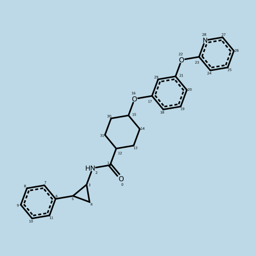 O=C(NC1CC1c1ccccc1)C1CCC(Oc2cccc(Oc3ccccn3)c2)CC1